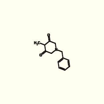 CC1C(=O)CN(Cc2ccccc2)CC1=O